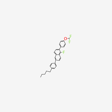 CCCCCc1ccc(-c2ccc3c(F)c(-c4ccc(OC(F)F)cc4)ccc3c2)cc1